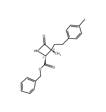 C[C@]1(CCc2ccc(I)cc2)C(=O)N[C@@H]1C(=O)OCc1ccccc1